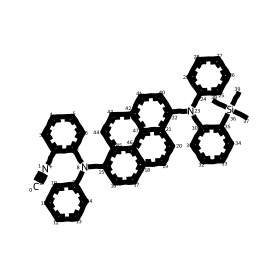 [C-]#[N+]c1ccccc1N(c1ccccc1)c1ccc2ccc3c(N(c4ccccc4)c4ccccc4[Si](C)(C)C)ccc4ccc1c2c43